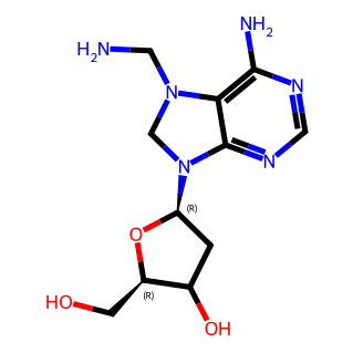 NCN1CN([C@H]2CC(O)[C@@H](CO)O2)c2ncnc(N)c21